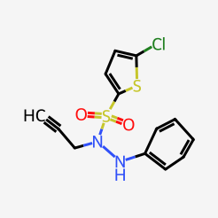 C#CCN(Nc1ccccc1)S(=O)(=O)c1ccc(Cl)s1